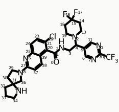 O=C(NCC(c1cnc(C(F)(F)F)nc1)N1CCC(F)(F)CC1)c1c(Cl)ccc2nc(N3CCC4(CCCN4)C3)ccc12